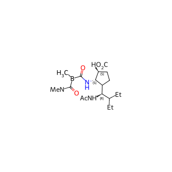 CCC(CC)[C@@H](NC(C)=O)C1CC[C@H](C(=O)O)[C@H]1NC(=O)B(C)C(=O)NC